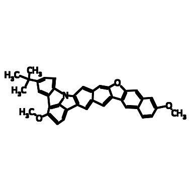 COc1ccc2cc3c(cc2c1)oc1cc2cc4c(cc2cc13)c1ccc(OC)c2c3cc(C(C)(C)C)ccc3n4c12